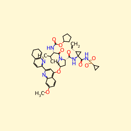 C=C[C@@H]1C[C@]1(NC(=O)[C@@H]1C[C@@H](Oc2cc(-c3ccc4c(n3)CCCC4)nc3cc(OC)ccc23)CN1C(=O)[C@@H](NC(=O)OC1CCCC1)C(C)C)C(=O)NS(=O)(=O)C1CC1